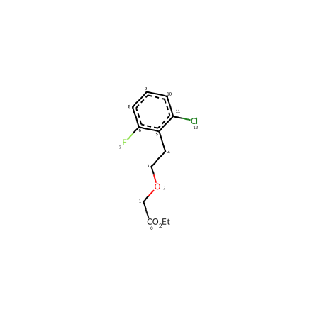 CCOC(=O)COCCc1c(F)cccc1Cl